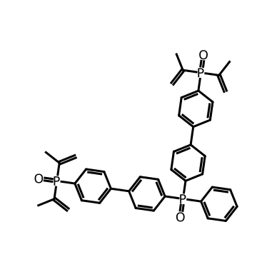 C=C(C)P(=O)(C(=C)C)c1ccc(-c2ccc(P(=O)(c3ccccc3)c3ccc(-c4ccc(P(=O)(C(=C)C)C(=C)C)cc4)cc3)cc2)cc1